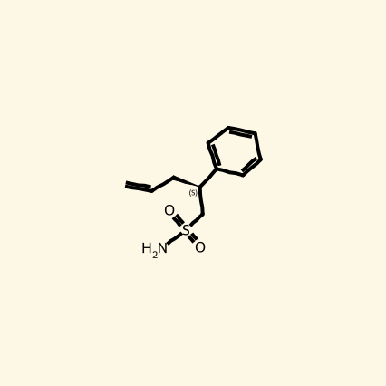 C=CC[C@H](CS(N)(=O)=O)c1ccccc1